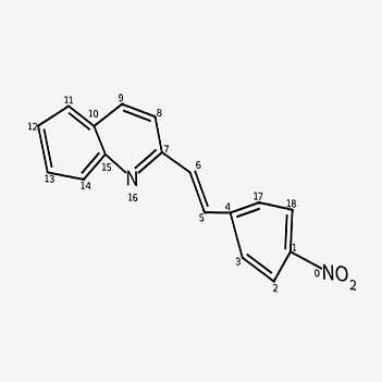 O=[N+]([O-])c1ccc(C=Cc2ccc3ccccc3n2)cc1